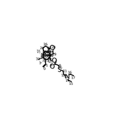 C=C[C@]1(C)C[C@@H](OC(=O)CSCCN(CC)CC)[C@]2(C)[C@H](C)CC[C@]3(CCC(=O)[C@H]32)[C@@H](C)[C@@H]1C